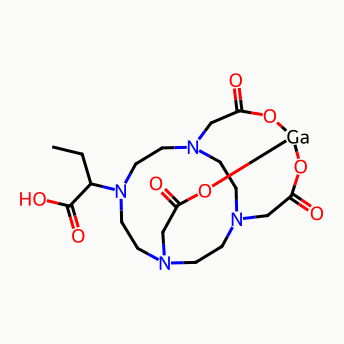 CCC(C(=O)O)N1CCN2CCN3CCN(CC1)CC(=O)[O][Ga]([O]C(=O)C3)[O]C(=O)C2